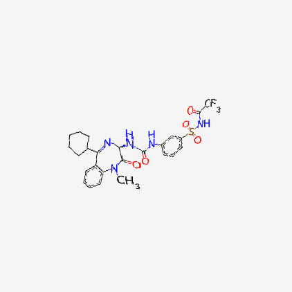 CN1C(=O)[C@H](NC(=O)Nc2cccc(S(=O)(=O)NC(=O)C(F)(F)F)c2)N=C(C2CCCCC2)c2ccccc21